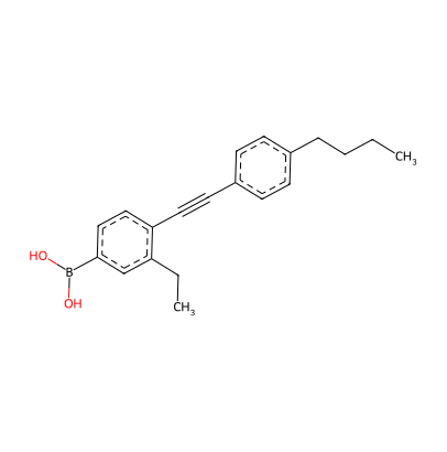 CCCCc1ccc(C#Cc2ccc(B(O)O)cc2CC)cc1